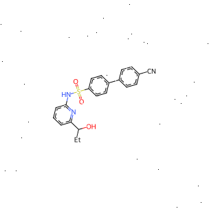 CCC(O)c1cccc(NS(=O)(=O)c2ccc(-c3ccc(C#N)cc3)cc2)n1